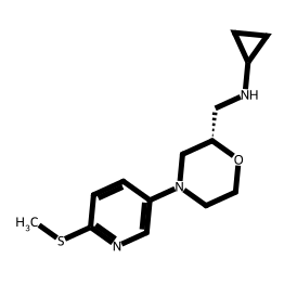 CSc1ccc(N2CCO[C@@H](CNC3CC3)C2)cn1